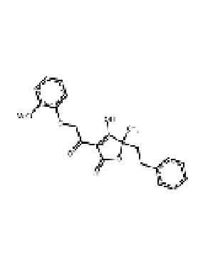 COc1ccccc1OCC(=O)C1=C(O)C(C)(CCc2ccccc2)OC1=O